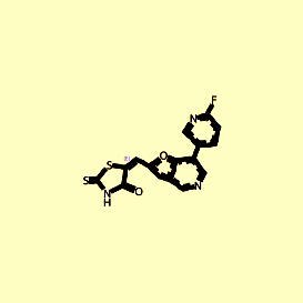 O=C1NC(=S)S/C1=C/c1cc2cncc(-c3ccc(F)nc3)c2o1